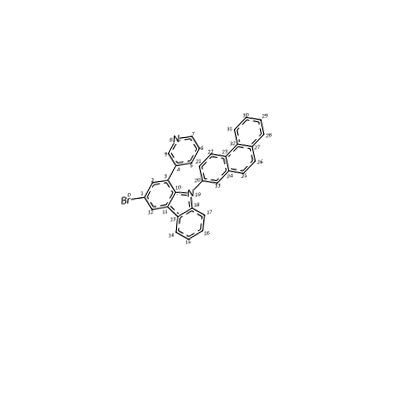 Brc1cc(-c2cccnc2)c2c(c1)c1ccccc1n2-c1ccc2c(ccc3ccccc32)c1